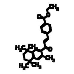 CCOC(=O)c1ccc(C=CC(=O)c2cc3c(cc2C)C(C)(C)CCC3(C)C)cc1